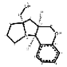 OC[C@@]12CCCN1[C@@H]1c3ccccc3OC[C@@H]1C2